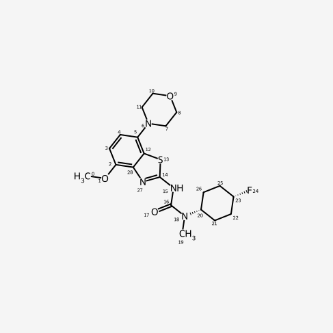 COc1ccc(N2CCOCC2)c2sc(NC(=O)N(C)[C@H]3CC[C@@H](F)CC3)nc12